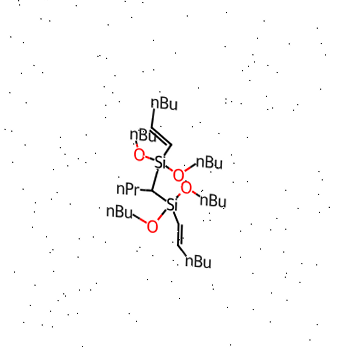 CCCCC=C[Si](OCCCC)(OCCCC)C(CCC)[Si](C=CCCCC)(OCCCC)OCCCC